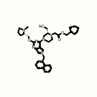 CN1CCC[C@H]1COc1nc(N2CCN(CC(=O)OCc3ccccc3)[C@@H](CC#N)C2)c2cn(Cc3cccc4ccccc34)cc2n1